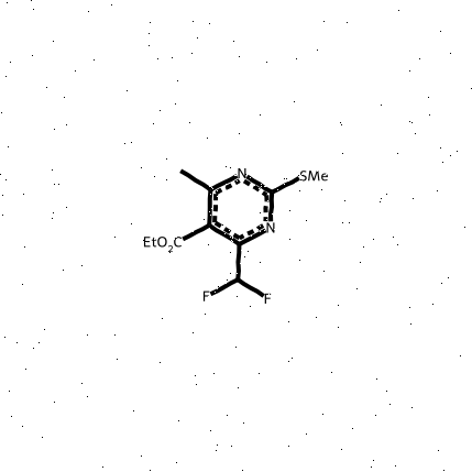 CCOC(=O)c1c(C)nc(SC)nc1C(F)F